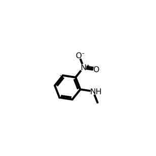 CNc1ccc[c]c1[N+](=O)[O-]